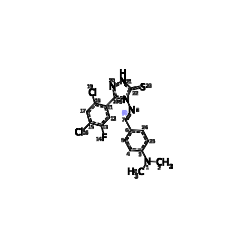 CN(C)c1ccc(/C=N/n2c(-c3cc(F)c(Cl)cc3Cl)n[nH]c2=S)cc1